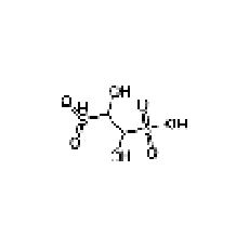 O=[SH](=O)C(O)C(O)S(=O)(=O)O